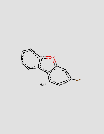 [Na+].[S-]c1ccc2c(c1)oc1ccccc12